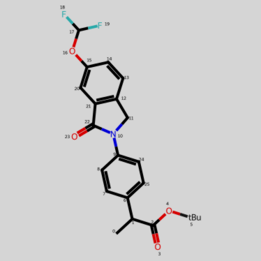 CC(C(=O)OC(C)(C)C)c1ccc(N2Cc3ccc(OC(F)F)cc3C2=O)cc1